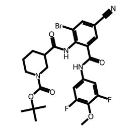 COc1c(F)cc(NC(=O)c2cc(C#N)cc(Br)c2NC(=O)C2CCCN(C(=O)OC(C)(C)C)C2)cc1F